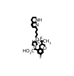 CC(C)(F)C1COc2cc(F)cc(C(C(=O)O)N3CC[C@@H](OCCCCc4ccc5c(n4)NCCC5)C3)c2C1